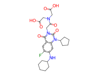 O=C(O)CN(CC(=O)O)C(=O)Cn1c(=O)c2cc(F)c(NC3CCCCC3)cc2n(C2CCCC2)c1=O